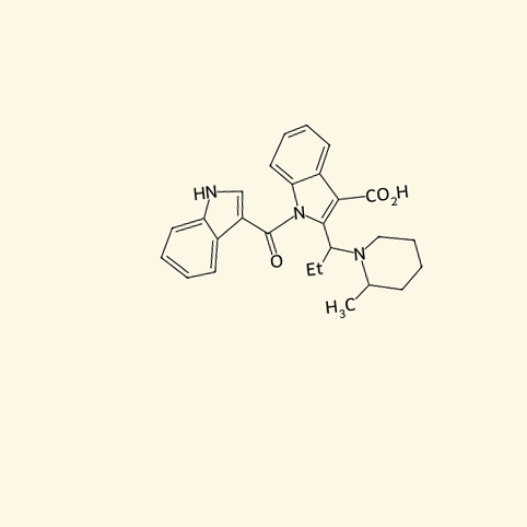 CCC(c1c(C(=O)O)c2ccccc2n1C(=O)c1c[nH]c2ccccc12)N1CCCCC1C